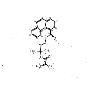 C=C(C(=O)OC(C)(C)CCOC(=O)c1cccc2ccc3ccccc3c12)C(F)(F)F